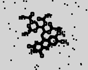 CCCC(=O)OCC(OC(=O)CCC)C(OC(=O)CCC)C(Cn1c2nc(=O)[nH]c(=O)c-2nc2cc(C)c(C)cc21)OC(=O)CCC